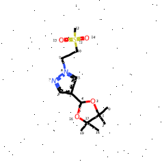 CC1(C)OC(c2cnn(CCS(C)(=O)=O)c2)OC1(C)C